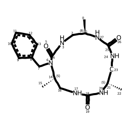 C[C@@H]1CNC(=O)N(Cc2ccccc2)[C@@H](C)CNC(=O)N[C@@H](C)CNC(=O)N1